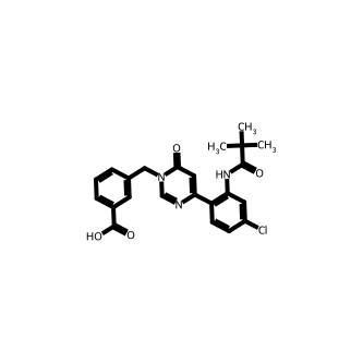 CC(C)(C)C(=O)Nc1cc(Cl)ccc1-c1cc(=O)n(Cc2cccc(C(=O)O)c2)cn1